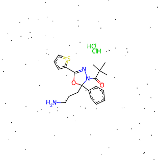 CC(C)(C)C(=O)N1N=C(c2cccs2)OC1(CCCN)c1ccccc1.Cl.Cl